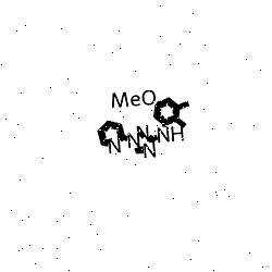 COc1cc(C)c(C)c(Nc2ncn(-c3ccccn3)n2)c1